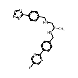 C[C@@H](CNCc1ccc(-c2nnco2)cc1)NCc1ccc(-c2ncc(F)cn2)cc1